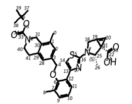 Cc1cc(COc2c(C)cccc2-c2csc(N3CC4=C[C@@]4(C(=O)O)[C@@H]3C)n2)cc2c1CN(C(=O)OC(C)(C)C)CC2